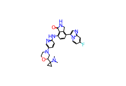 CN(C)C1(C2CN(c3ccc(Nc4ccc(-c5cnc6cc(F)ccn56)c5c4C(=O)NC5)nc3)CCO2)CC1